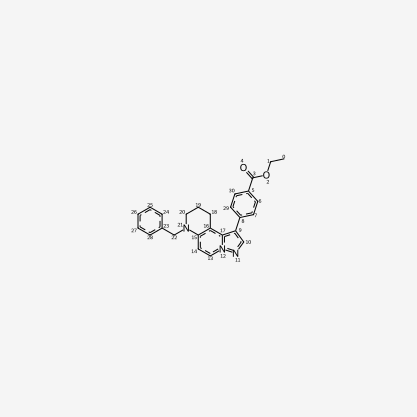 CCOC(=O)c1ccc(-c2cnn3ccc4c(c23)CCCN4Cc2ccccc2)cc1